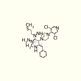 CN/C(=C\c1ccccc1)C(/C(=N/N)N(N)CCSC)N1CCN(c2c(Cl)cncc2Cl)CC1